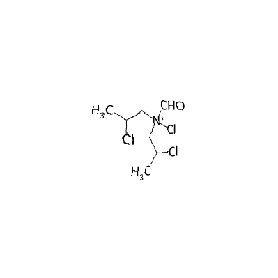 CC(Cl)C[N+](Cl)(C=O)CC(C)Cl